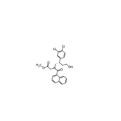 COC(=O)CN(C[C@@H](CCO)c1ccc(Cl)c(Cl)c1)C(=O)c1cccc2ccccc12